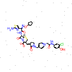 Nc1nc(/C(=N/OC2CCCC2)C(=O)N[C@@H]2C(=O)N3C(C(=O)[O-])=C(C=C4CCN(Cc5cc[n+](CC(=O)Nc6ccc(O)c(Cl)c6)cc5)C4=O)CS[C@H]23)cs1